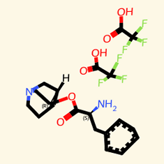 N[C@@H](Cc1ccccc1)C(=O)O[C@H]1CN2CCC1CC2.O=C(O)C(F)(F)F.O=C(O)C(F)(F)F